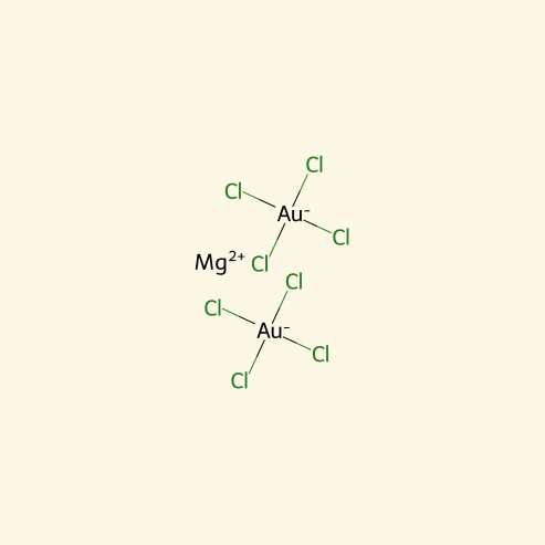 [Cl][Au-]([Cl])([Cl])[Cl].[Cl][Au-]([Cl])([Cl])[Cl].[Mg+2]